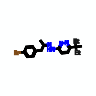 CCC(C)(CC)c1ccc(NN=C(C)Cc2ccc(Br)cc2)nn1